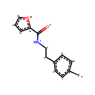 O=C(NCCc1ccc(F)cc1)c1ccco1